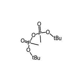 CC(C)(C)OP(C)(=O)OP(C)(=O)OC(C)(C)C